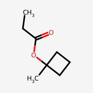 CCC(=O)OC1(C)CCC1